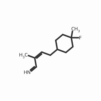 C/C(C=N)=C/CC1CCC(C)(F)CC1